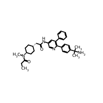 CCC(=O)N(C)[C@H]1CC[C@H](CC(=O)Nc2cnc(-c3ccc(C(C)(C)N)cc3)c(-c3ccccc3)c2)CC1